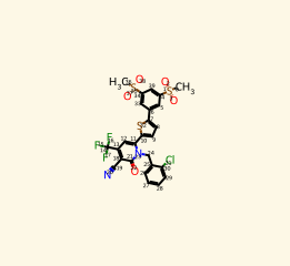 CS(=O)(=O)c1cc(-c2ccc(-c3cc(C(F)(F)F)c(C#N)c(=O)n3Cc3ccccc3Cl)s2)cc(S(C)(=O)=O)c1